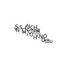 CC(C)(C)OC(=O)N1C[C@@H]2C(C(=O)NC(C)(C)c3ncc4c(Sc5nccs5)cccn34)[C@@H]2C1